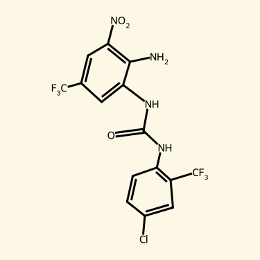 Nc1c(NC(=O)Nc2ccc(Cl)cc2C(F)(F)F)cc(C(F)(F)F)cc1[N+](=O)[O-]